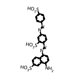 Nc1ccc(/N=N/c2ccc(/N=N/c3ccc(S(=O)(=O)O)cc3)cc2S(=O)(=O)O)c2ccc(S(=O)(=O)O)cc12